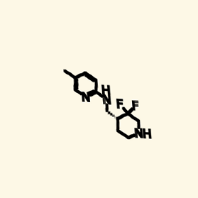 Cc1ccc(NC[C@H]2CCNCC2(F)F)nc1